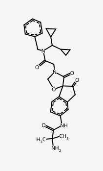 CC(C)(N)C(=O)Nc1ccc2c(c1)CC(=O)C21OCN(CC(=O)N(Cc2ccccc2)C(C2CC2)C2CC2)C1=O